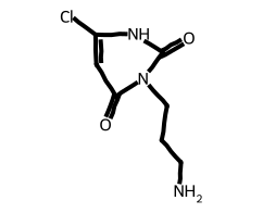 NCCCn1c(=O)cc(Cl)[nH]c1=O